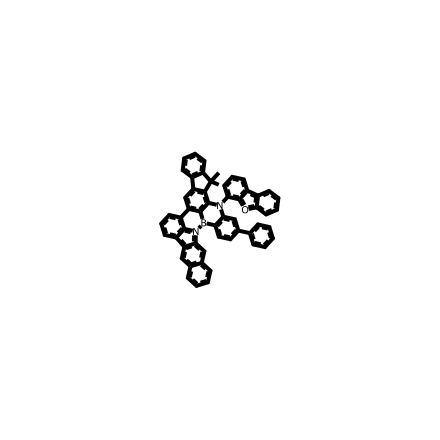 CC1(C)c2ccccc2-c2cc3c4c(c21)N(c1cccc2c1oc1ccccc12)c1cc(-c2ccccc2)ccc1B4n1c2cc4ccccc4cc2c2cccc-3c21